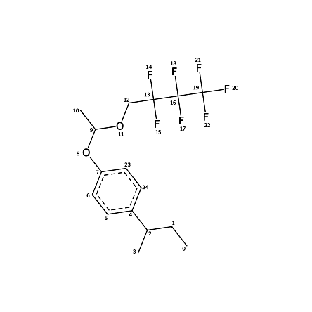 CCC(C)c1ccc(OC(C)OCC(F)(F)C(F)(F)C(F)(F)F)cc1